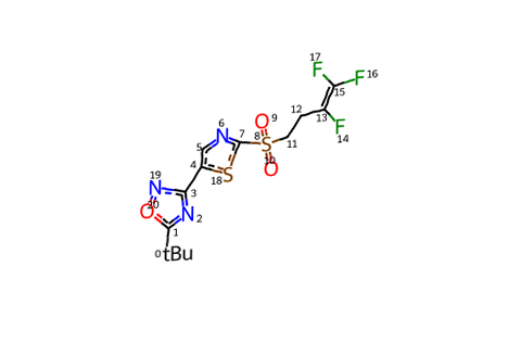 CC(C)(C)c1nc(-c2cnc(S(=O)(=O)CCC(F)=C(F)F)s2)no1